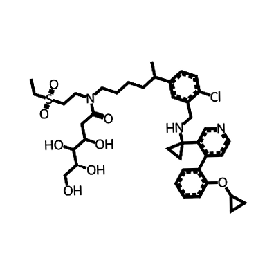 CCS(=O)(=O)CCN(CCCCC(C)c1ccc(Cl)c(CNC2(c3cnccc3-c3ccccc3OC3CC3)CC2)c1)C(=O)CC(O)C(O)[C@@H](O)CO